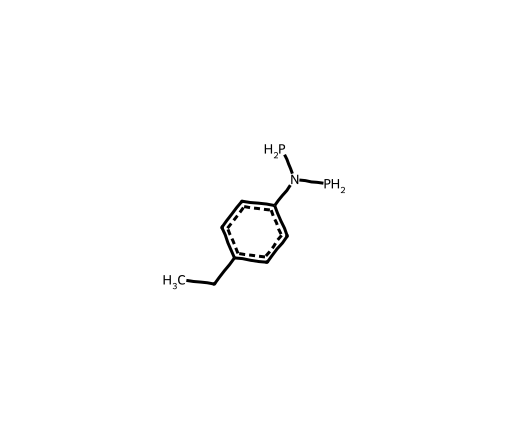 CCc1ccc(N(P)P)cc1